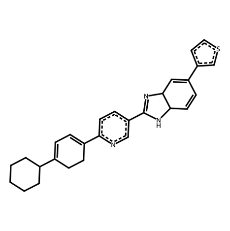 C1=CC2NC(c3ccc(C4=CC=C(C5CCCCC5)CC4)nc3)=NC2C=C1c1ccsc1